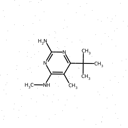 CNc1nc(N)nc(C(C)(C)C)c1C